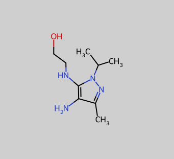 Cc1nn(C(C)C)c(NCCO)c1N